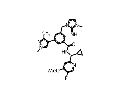 COc1cc([C@@H](NC(=O)c2cc(Cn3ccn(C)c3=N)cc(-c3cn(C)nc3C(F)(F)F)c2)C2CC2)ncc1F